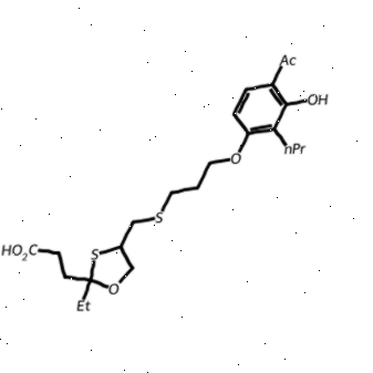 CCCc1c(OCCCSCC2COC(CC)(CCC(=O)O)S2)ccc(C(C)=O)c1O